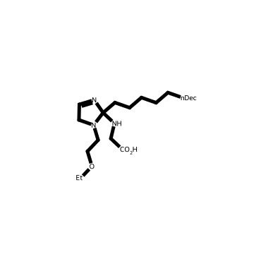 CCCCCCCCCCCCCCCC1(NCC(=O)O)N=CCN1CCOCC